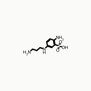 NCCCNc1ccc(N)c(S(=O)(=O)O)c1